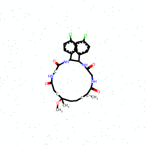 COC1(C)CCC[C@@H](C)C(=O)NCC(=O)NC(c2ccc(Cl)cc2)C(c2ccc(Cl)cc2)NC(=O)CNC(=O)CC1